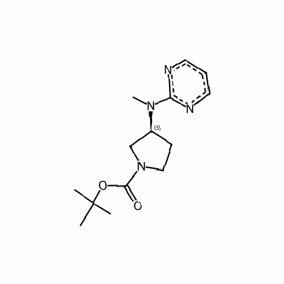 CN(c1ncccn1)[C@H]1CCN(C(=O)OC(C)(C)C)C1